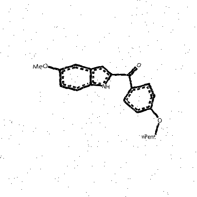 CCCCCOc1ccc(C(=O)c2cc3cc(OC)ccc3[nH]2)cc1